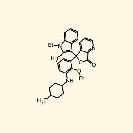 CCOc1c(NC2CCC(C)CC2)cccc1C1(c2c(C)n(CC)c3ccccc23)OC(=O)c2ncccc21